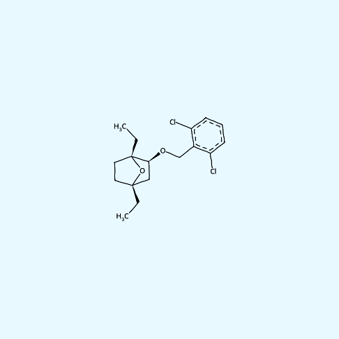 CC[C@@]12CC[C@@](CC)(O1)[C@@H](OCc1c(Cl)cccc1Cl)C2